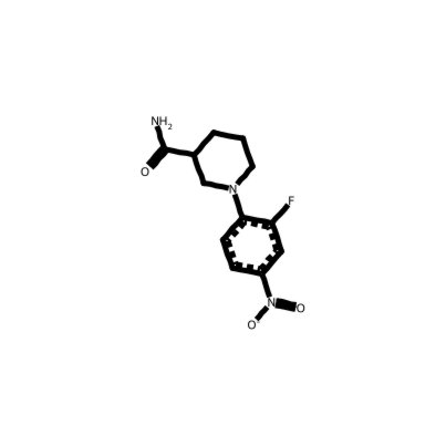 NC(=O)C1CCCN(c2ccc([N+](=O)[O-])cc2F)C1